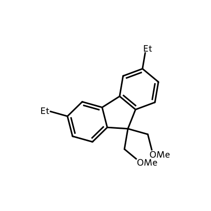 CCc1ccc2c(c1)-c1cc(CC)ccc1C2(COC)COC